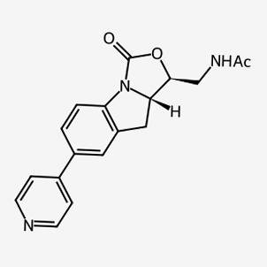 CC(=O)NC[C@@H]1OC(=O)N2c3ccc(-c4ccncc4)cc3C[C@@H]12